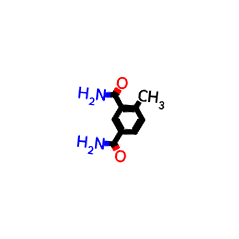 Cc1ccc(C(N)=O)cc1C(N)=O